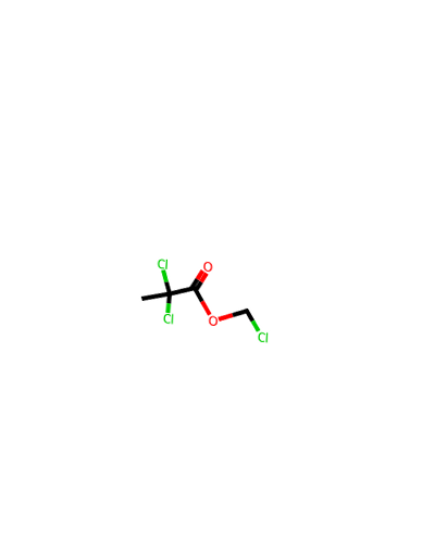 CC(Cl)(Cl)C(=O)OCCl